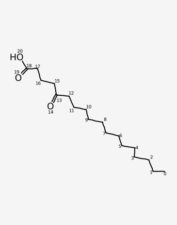 CCCCCCCCCCCCCC(=O)CCCC(=O)O